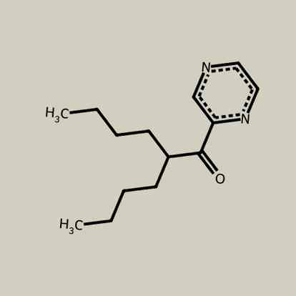 CCCCC(CCCC)C(=O)c1cnccn1